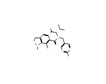 Cc1c(C(=O)N(Cc2cnc(N)nc2)[C@H](C(=O)O)C(C)C)ccc2c1B(O)OC2